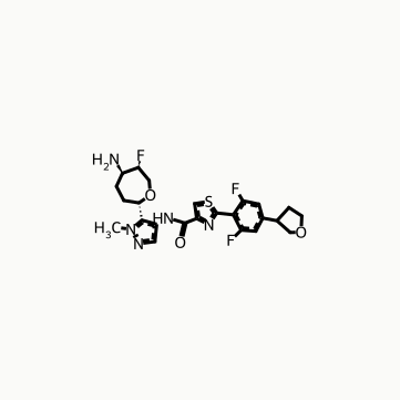 Cn1ncc(NC(=O)c2csc(-c3c(F)cc(C4CCOC4)cc3F)n2)c1[C@@H]1CC[C@@H](N)[C@H](F)CO1